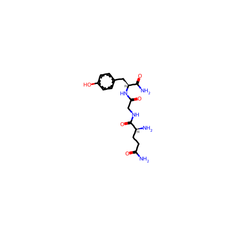 NC(=O)CC[C@H](N)C(=O)NCC(=O)N[C@@H](Cc1ccc(O)cc1)C(N)=O